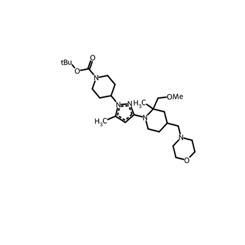 COCC1(C)CC(CN2CCOCC2)CCN1c1cc(C)n(C2CCN(C(=O)OC(C)(C)C)CC2)n1